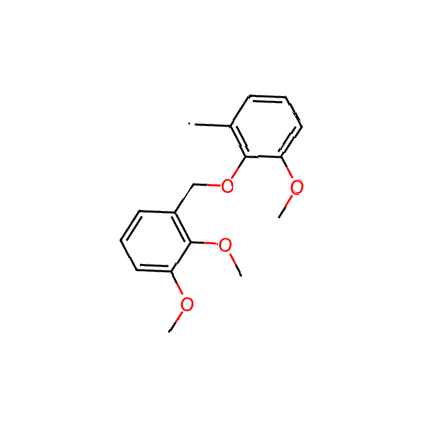 [CH2]c1cccc(OC)c1OCc1cccc(OC)c1OC